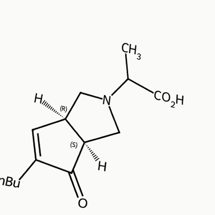 CCCCC1=C[C@H]2CN(C(C)C(=O)O)C[C@H]2C1=O